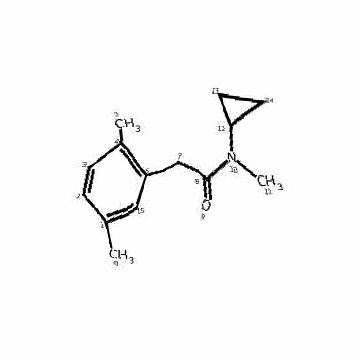 Cc1ccc(C)c(CC(=O)N(C)C2CC2)c1